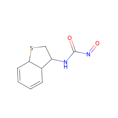 O=NC(=O)NC1CSC2C=CC=CC12